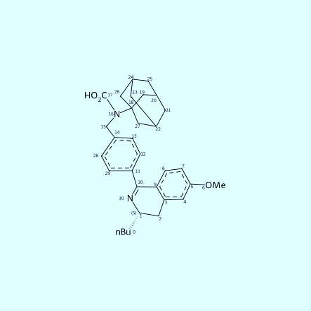 CCCC[C@H]1Cc2cc(OC)ccc2C(c2ccc(CN(C(=O)O)C34CC5CC(CC(C5)C3)C4)cc2)=N1